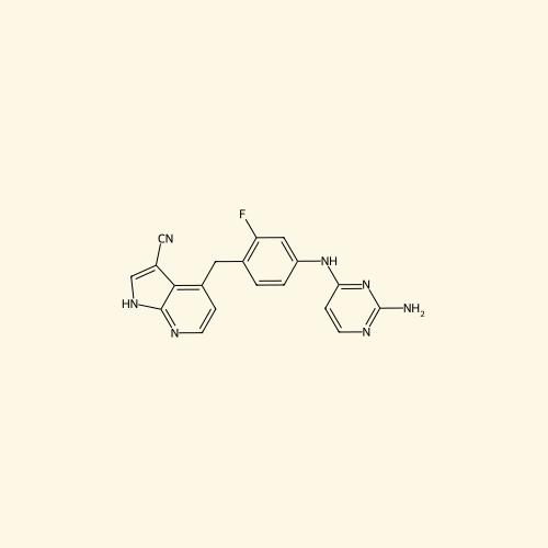 N#Cc1c[nH]c2nccc(Cc3ccc(Nc4ccnc(N)n4)cc3F)c12